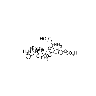 CCCC[C@H](CC(=O)[C@H](Cc1ccc(OS(=O)(=O)O)cc1)NC(=O)[C@H](N)CCC(=O)O)C(=O)N(C)[C@H](CC(=O)O)C(=O)N(C)[C@@H](Cc1ccccc1)C(N)=O